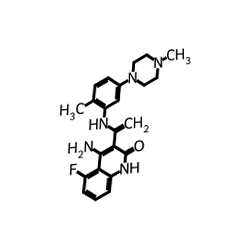 C=C(Nc1cc(N2CCN(C)CC2)ccc1C)c1c(N)c2c(F)cccc2[nH]c1=O